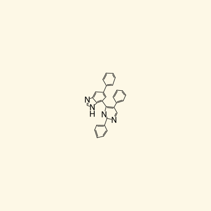 c1ccc(-c2cc(-c3nc(-c4ccccc4)ncc3-c3ccccc3)c3[nH]cnc3c2)cc1